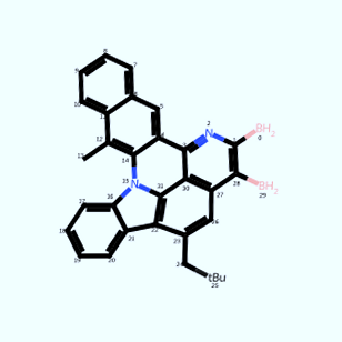 Bc1nc2c3cc4ccccc4c(C)c3n3c4ccccc4c4c(CC(C)(C)C)cc(c1B)c2c43